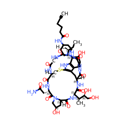 C#CCCCC(=O)NC1CCN(c2c(O)ccc3c4c([nH]c23)SC[C@@H]2NC(=O)CNC(=O)[C@H]([C@@H](C)CC)NC(=O)CNC(=O)[C@@H](C4)NC(=O)[C@H]([C@@H](C)[C@@H](O)CO)NC(=O)[C@@H]3C[C@@H](O)CN3C(=O)[C@H](CC(N)=O)NC2=O)CC1